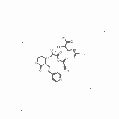 C#CC(=O)OC(=O)C(C)C.CC(=O)NCC(C)C(=O)O.O=C1NCCC[C@H]1CCc1ccncc1